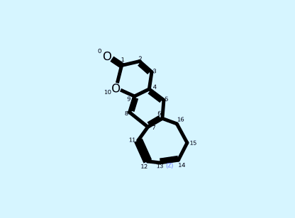 O=c1ccc2cc3c(cc2o1)C#C/C=C\CC3